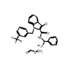 CC(NC(=O)c1c(Cl)c2ccccc2n1Cc1cccc(C(F)(F)F)c1)c1ccccc1.COC=O